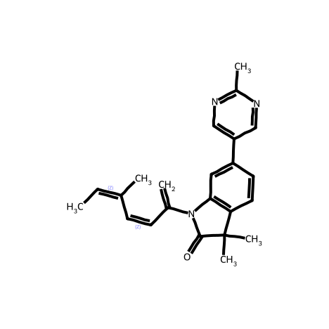 C=C(/C=C\C(C)=C/C)N1C(=O)C(C)(C)c2ccc(-c3cnc(C)nc3)cc21